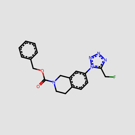 O=C(OCc1ccccc1)N1CCc2ccc(-n3nnnc3CF)cc2C1